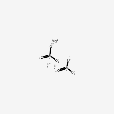 O=[Si]([O-])[O-].O=[Si]([O-])[O-].[Li+].[Li+].[Mg+2]